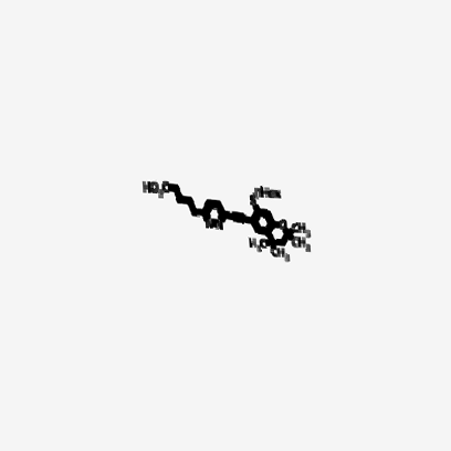 CCCCCCSc1cc2c(cc1C#Cc1ccc(CCCCC(=O)O)nn1)C(C)(C)CC(C)(C)O2